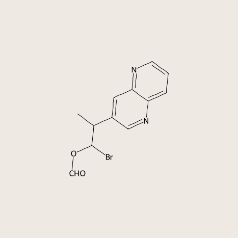 CC(c1cnc2cccnc2c1)C(Br)OC=O